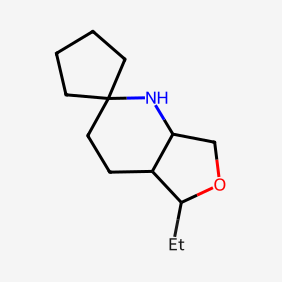 CCC1OCC2NC3(CCCC3)CCC21